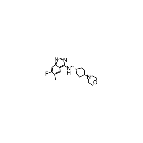 Cc1cc2c(NC[C@H]3CC[C@H](N4CCOCC4)CC3)ncnc2cc1F